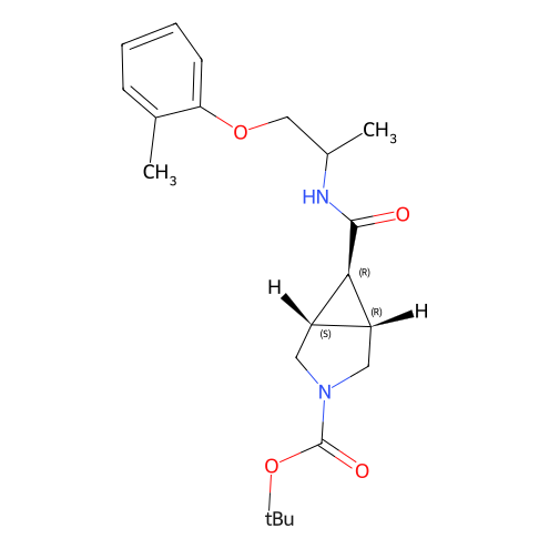 Cc1ccccc1OCC(C)NC(=O)[C@H]1[C@@H]2CN(C(=O)OC(C)(C)C)C[C@@H]21